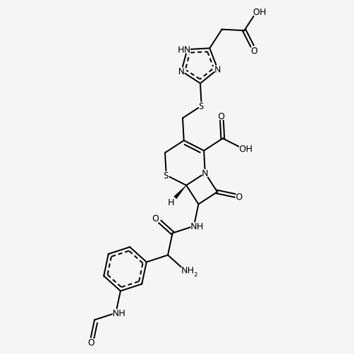 NC(C(=O)NC1C(=O)N2C(C(=O)O)=C(CSc3n[nH]c(CC(=O)O)n3)CS[C@@H]12)c1cccc(NC=O)c1